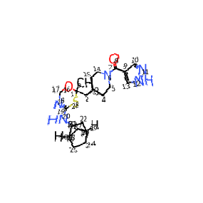 CC1(CC2CCN(C(=O)c3cn[nH]c3)CC2)OCN=C(N[C@H]2C[C@@H]3CC[C@H]2C3)S1